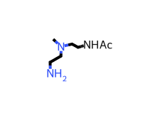 CC(=O)NCCN(C)CCN